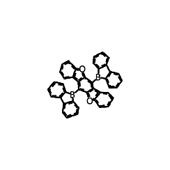 c1ccc2c(c1)B(c1c3oc4ccccc4c3c(B3c4ccccc4-c4ccccc43)c3oc4ccccc4c13)c1ccccc1-2